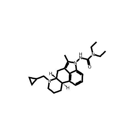 CCN(CC)C(=O)Nn1c(C)c2c3c(cccc31)[C@H]1CCCN(CC3CC3)[C@@H]1C2